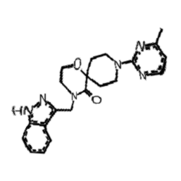 Cc1ccnc(N2CCC3(CC2)OCCN(Cc2n[nH]c4ccccc24)C3=O)n1